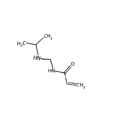 C=CC(=O)NCNC(C)C